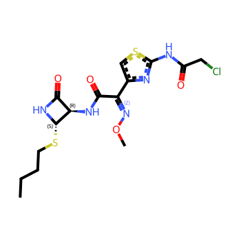 CCCCS[C@@H]1NC(=O)[C@H]1NC(=O)/C(=N\OC)c1csc(NC(=O)CCl)n1